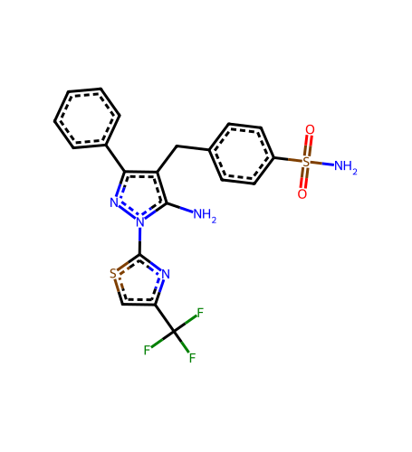 Nc1c(Cc2ccc(S(N)(=O)=O)cc2)c(-c2ccccc2)nn1-c1nc(C(F)(F)F)cs1